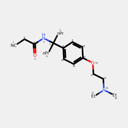 CCCC(CCC)(NC(=O)CC#N)c1ccc(OCCN(CC)CC)cc1